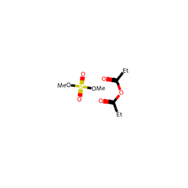 CCC(=O)OC(=O)CC.COS(=O)(=O)OC